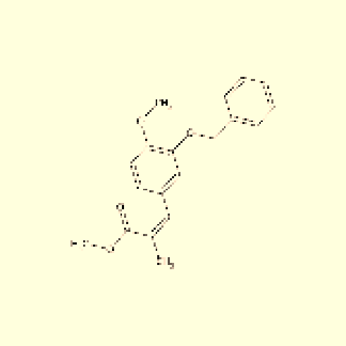 COC(=O)C(C)=Cc1ccc(OC)c(OCc2ccccc2)c1